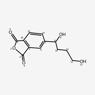 O=C1OC(=O)c2cc(C(O)CCCO)ccc21